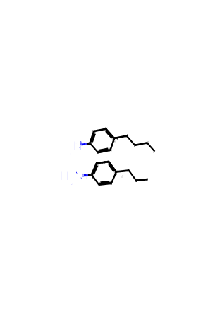 CCCCc1ccc(N)cc1.CCCc1ccc(N)cc1